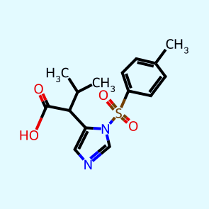 Cc1ccc(S(=O)(=O)n2cncc2C(C(=O)O)C(C)C)cc1